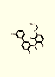 CN(c1cc(-c2cccc(F)c2)ccc1F)c1c(F)ccc(OCC(=O)O)c1F